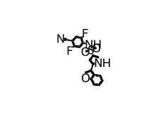 N#Cc1cc(F)c(NS(=O)(=O)c2c[nH]c(-c3coc4ccccc34)c2)cc1F